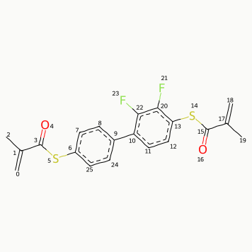 C=C(C)C(=O)Sc1ccc(-c2ccc(SC(=O)C(=C)C)c(F)c2F)cc1